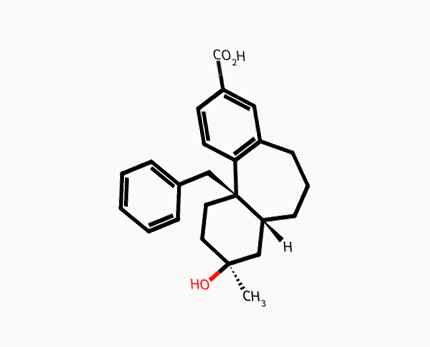 C[C@]1(O)CC[C@]2(Cc3ccccc3)c3ccc(C(=O)O)cc3CCC[C@@H]2C1